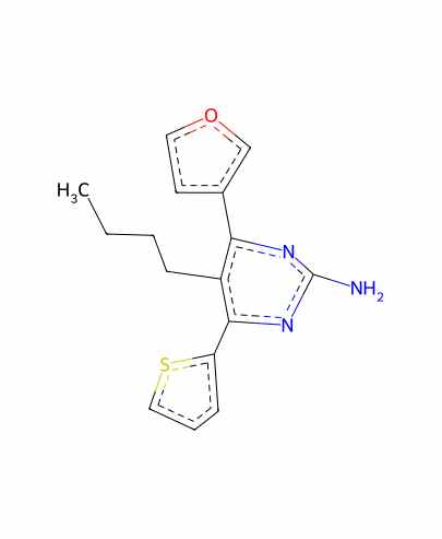 CCCCc1c(-c2ccoc2)nc(N)nc1-c1cccs1